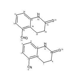 N#Cc1cccc2c1CCC(=O)N2.O=Cc1cccc2c1CCC(=O)N2